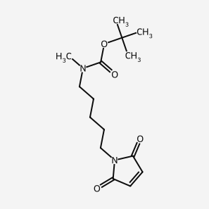 CN(CCCCCN1C(=O)C=CC1=O)C(=O)OC(C)(C)C